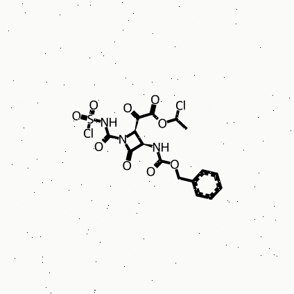 CC(Cl)OC(=O)C(=O)[C@H]1[C@@H](NC(=O)OCc2ccccc2)C(=O)N1C(=O)NS(=O)(=O)Cl